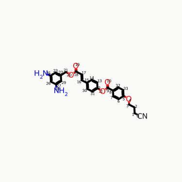 N#CCCCOc1ccc(C(=O)Oc2ccc(C=CC(=O)OCc3cc(N)cc(N)c3)cc2)cc1